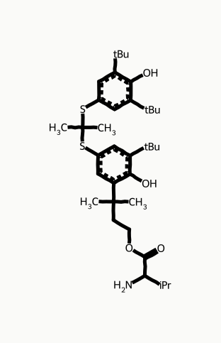 CC(C)C(N)C(=O)OCCC(C)(C)c1cc(SC(C)(C)Sc2cc(C(C)(C)C)c(O)c(C(C)(C)C)c2)cc(C(C)(C)C)c1O